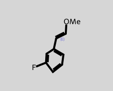 CO/C=C/c1cccc(F)c1